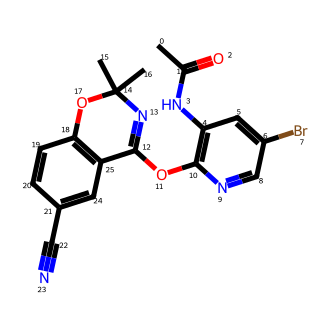 CC(=O)Nc1cc(Br)cnc1OC1=NC(C)(C)Oc2ccc(C#N)cc21